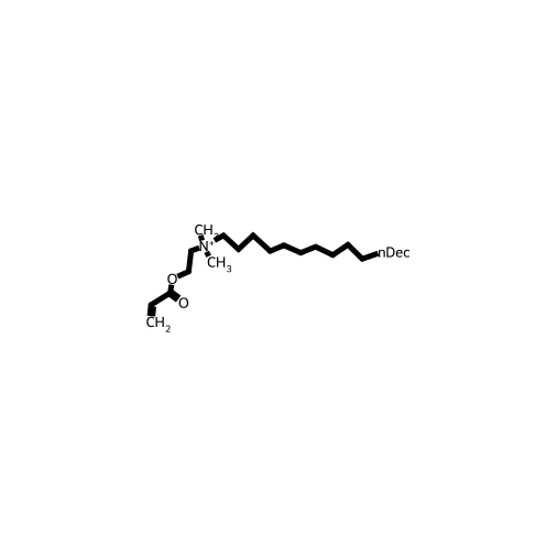 C=CC(=O)OCC[N+](C)(C)CCCCCCCCCCCCCCCCCCCC